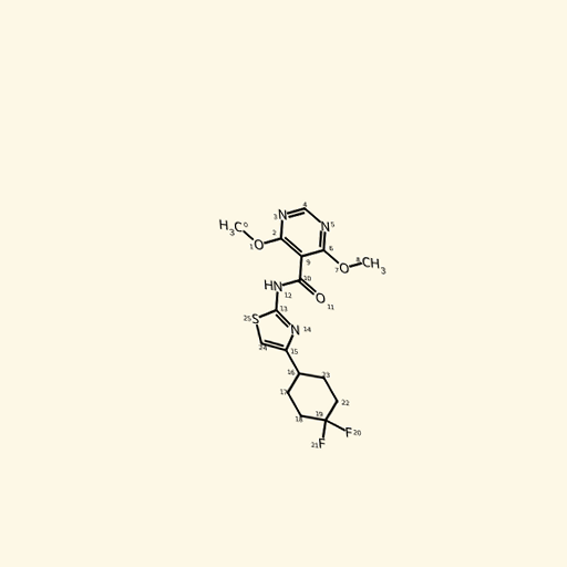 COc1ncnc(OC)c1C(=O)Nc1nc(C2CCC(F)(F)CC2)cs1